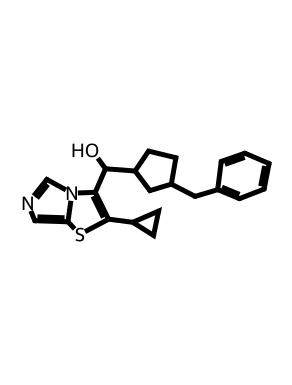 OC(c1c(C2CC2)sc2cncn12)C1CCC(Cc2ccccc2)C1